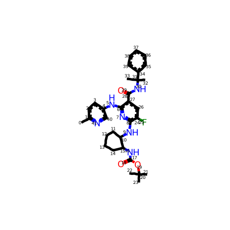 Cc1ccc(Nc2nc(NC3CCCCC3NC(=O)OC(C)(C)C)c(F)cc2C(=O)NC(C)(C)c2ccccc2)cn1